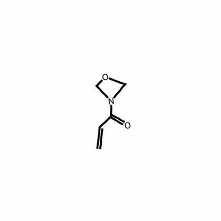 C=CC(=O)N1COC1